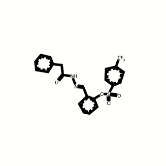 O=C(Cc1ccccc1)NN=Cc1ccccc1OS(=O)(=O)c1ccc(C(F)(F)F)cc1